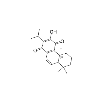 CC(C)C1=C(O)C(=O)C2=C(C=CC3C(C)(C)CCC[C@]23C)C1=O